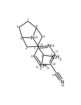 CC(C)C1CC2CCC(C1)N2c1ccc(C#N)cn1